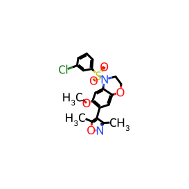 COc1cc2c(cc1-c1c(C)noc1C)OCCN2S(=O)(=O)c1cccc(Cl)c1